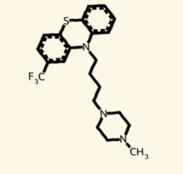 CN1CCN(CCCCN2c3ccccc3Sc3ccc(C(F)(F)F)cc32)CC1